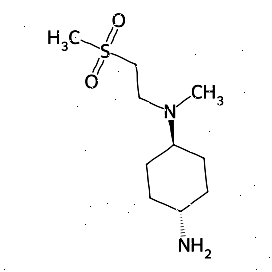 CN(CCS(C)(=O)=O)[C@H]1CC[C@H](N)CC1